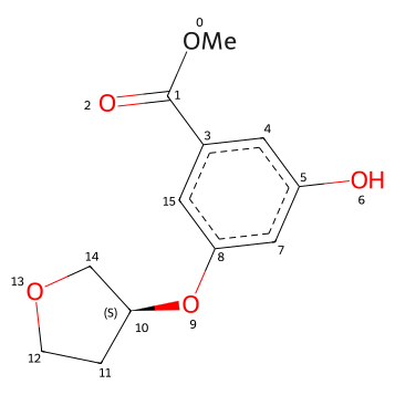 COC(=O)c1cc(O)cc(O[C@H]2CCOC2)c1